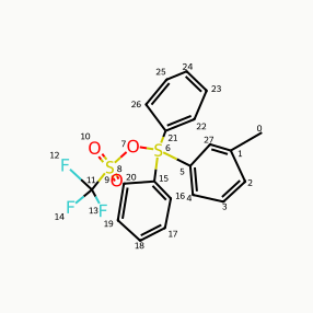 Cc1cccc(S(OS(=O)(=O)C(F)(F)F)(c2ccccc2)c2ccccc2)c1